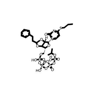 CCCSc1ccn([C@@H]2O[C@H](COP(=O)(O)OP(=O)(O)OP(=O)(O)OP(=O)(O)OC(C)C)C3OC(CCc4ccccc4)O[C@@H]32)c(=O)n1